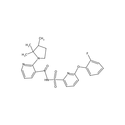 CC1CCN(c2ncccc2C(=O)NS(=O)(=O)c2cccc(Oc3ccccc3F)n2)C1(C)C